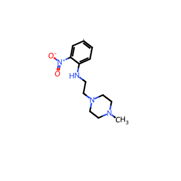 CN1CCN(CCNc2cc[c]cc2[N+](=O)[O-])CC1